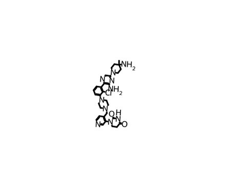 CC1(N)CCN(c2cnc(-c3cccc(N4CCN(Cc5ccncc5N5CCC(=O)NC5=O)CC4)c3Cl)c(N)n2)CC1